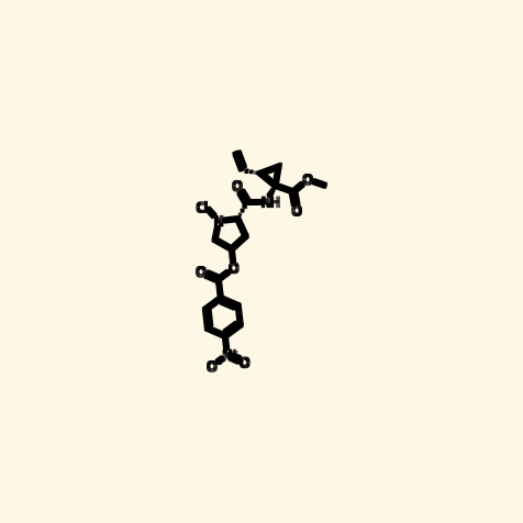 C=C[C@@H]1C[C@]1(NC(=O)[C@@H]1CC(OC(=O)c2ccc([N+](=O)[O-])cc2)CN1Cl)C(=O)OC